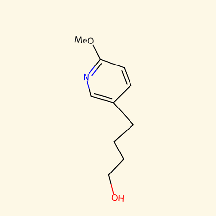 COc1ccc(CCCCO)cn1